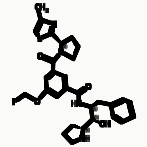 Cc1csc([C@H]2CCCN2C(=O)c2cc(OCF)cc(C(=O)N[C@@H](Cc3ccccc3)[C@H](O)[C@H]3CCCN3)c2)n1